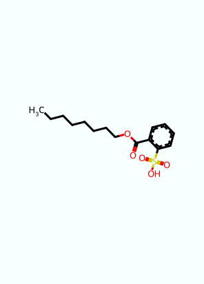 CCCCCCCCOC(=O)c1ccccc1S(=O)(=O)O